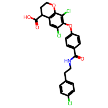 O=C(NCCc1ccc(Cl)cc1)c1ccc(Oc2c(Cl)cc3c(c2Cl)OCCC3C(=O)O)cc1